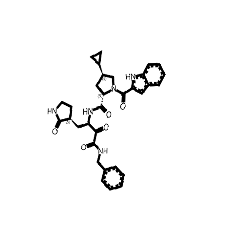 O=C(NCc1ccccc1)C(=O)C(C[C@@H]1CCNC1=O)NC(=O)[C@@H]1C[C@@H](C2CC2)CN1C(=O)c1cc2ccccc2[nH]1